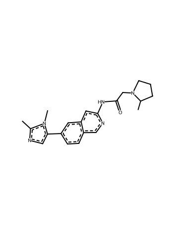 Cc1ncc(-c2ccc3cnc(NC(=O)CN4CCCC4C)cc3c2)n1C